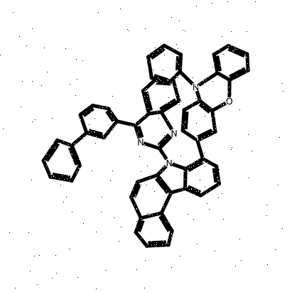 c1ccc(-c2cccc(-c3nc(-n4c5ccc6ccccc6c5c5cccc(-c6ccc7c(c6)Oc6ccccc6N7c6ccccc6)c54)nc4ccccc34)c2)cc1